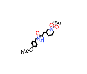 COc1ccc(CNC(=O)CCC2CCCN(C(=O)OC(C)(C)C)C2)cc1